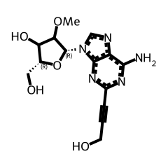 COC1C(O)[C@@H](CO)O[C@H]1n1cnc2c(N)nc(C#CCO)nc21